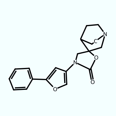 O=C1OC2(CN3CCC2CC3)CN1c1coc(-c2ccccc2)c1